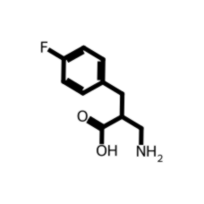 NCC(Cc1ccc(F)cc1)C(=O)O